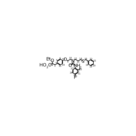 CCOC(Cc1ccc(OCCN(CCCSCc2ccccc2)C(=O)Nc2ccc(F)cc2F)cc1)C(=O)O